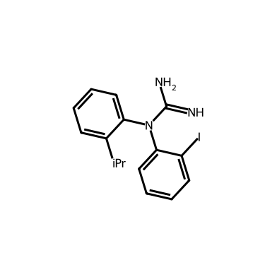 CC(C)c1ccccc1N(C(=N)N)c1ccccc1I